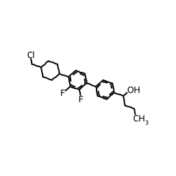 CCCC(O)c1ccc(-c2ccc(C3CCC(CCl)CC3)c(F)c2F)cc1